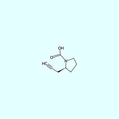 C#CC[C@@H]1CCCN1C(=O)O